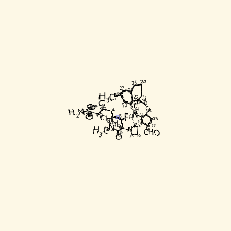 C[C@H]([C@@H](C)C/C=C(\F)[C@H](C(=O)N(C)C)N1CCC[C@H]1CN1C[C@@]2(CCCc3cc(Cl)ccc32)COc2ccc(C=O)cc21)S(N)(=O)=O